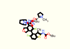 CN1CCC[C@H]1COc1nc(N2C3CCC2CN(C(=O)OC(C)(C)C)C3)c2c3c(c(-c4c(F)ccc5sc(NC(=O)OC(C)(C)C)c(C#N)c45)c(F)c2n1)COC3